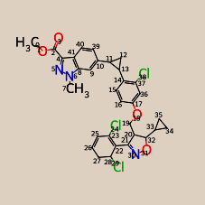 COC(=O)c1nn(C)c2cc(C3CC3c3ccc(OCC4C(C5=C(Cl)C=CCC5Cl)=NOC4C4CC4)cc3Cl)ccc12